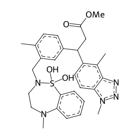 COC(=O)CC(c1ccc(C)c(CN2CCN(C)c3ccccc3S2(O)O)c1)c1ccc2c(nnn2C)c1C